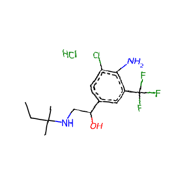 CCC(C)(C)NCC(O)c1cc(Cl)c(N)c(C(F)(F)F)c1.Cl